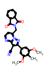 COc1cc(-c2nn3c(CN4C(=O)c5ccccc5C4=O)ccnc3c2C#N)cc(OC)c1C